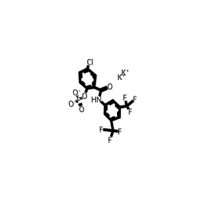 O=C(Nc1cc(C(F)(F)F)cc(C(F)(F)F)c1)c1cc(Cl)ccc1OP(=O)([O-])[O-].[K+].[K+]